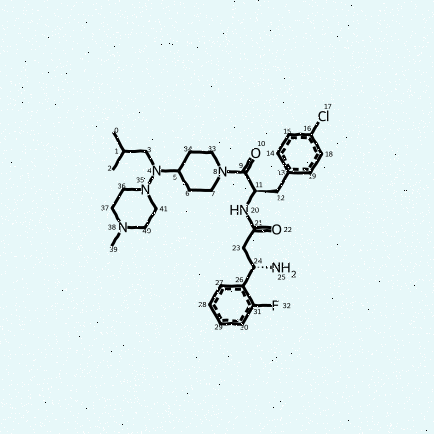 CC(C)CN(C1CCN(C(=O)[C@@H](Cc2ccc(Cl)cc2)NC(=O)C[C@H](N)c2ccccc2F)CC1)N1CCN(C)CC1